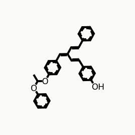 CC(Oc1ccccc1)Oc1ccc(C=C(C=Cc2ccccc2)C=Cc2ccc(O)cc2)cc1